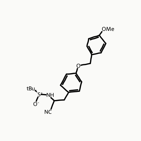 COc1ccc(COc2ccc(CC(C#N)N[S@@+]([O-])C(C)(C)C)cc2)cc1